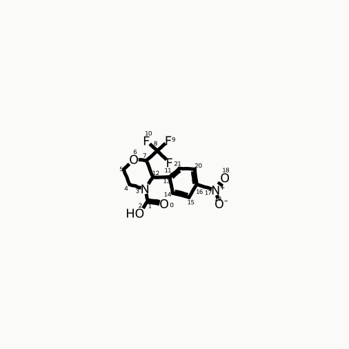 O=C(O)N1CCOC(C(F)(F)F)C1c1ccc([N+](=O)[O-])cc1